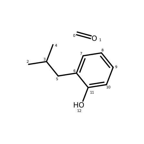 C=O.CC(C)Cc1ccccc1O